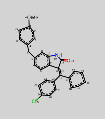 COc1ccc(Cc2ccc3c(c2)NC(=O)/C3=C(\c2ccccc2)c2ccc(Cl)cc2)cc1